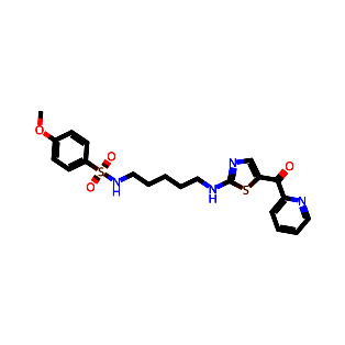 COc1ccc(S(=O)(=O)NCCCCCNc2ncc(C(=O)c3ccccn3)s2)cc1